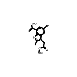 COC(=O)c1cc(Br)cc2c1nc(C)n2CC(=O)OC(C)(C)C